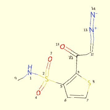 CNS(=O)(=O)c1ccsc1C(=O)C=[N+]=[N-]